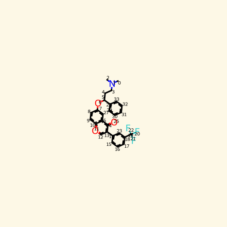 CN(C)CCC(Oc1ccc2occ(-c3cccc(C(F)(F)F)c3)c(=O)c2c1)c1ccccc1